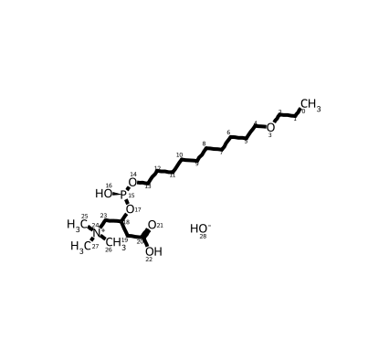 CCCOCCCCCCCCCCO[P@](O)OC(CC(=O)O)C[N+](C)(C)C.[OH-]